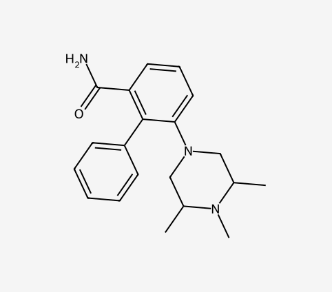 CC1CN(c2cccc(C(N)=O)c2-c2ccccc2)CC(C)N1C